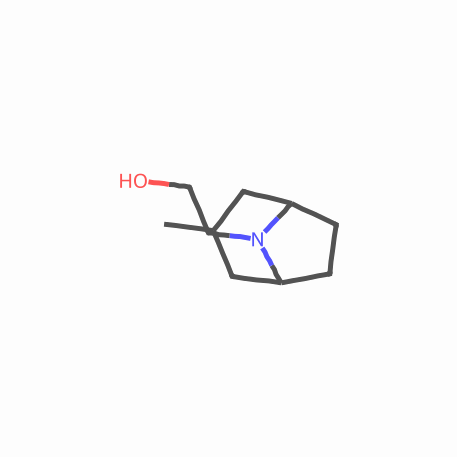 CC1CC2CCC(C1)N2CCO